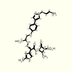 C[C@H]1[C@H](NC(=O)/C(=N\OC(COc2ccc(-c3cnn(CCCN)c3)cc2)C(=O)O)c2csc(N)n2)C(=O)N1S(=O)(=O)O